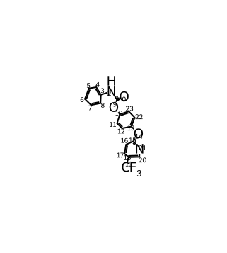 O=C(Nc1ccccc1)Oc1ccc(Oc2ccc(C(F)(F)F)cn2)cc1